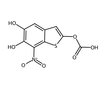 O=C(O)Oc1cc2cc(O)c(O)c([N+](=O)[O-])c2s1